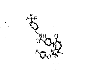 Cc1nc(Oc2ccc(F)cc2)nc2c1ccc(=O)n2-c1ccc(C(=O)NCc2ccc(C(F)(F)F)cc2)cc1